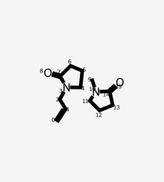 C=CCN1CCCC1=O.CN1CCCC1=O